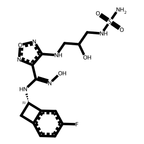 NS(=O)(=O)NCC(O)CNc1nonc1C(=NO)N[C@H]1Cc2ccc(F)cc21